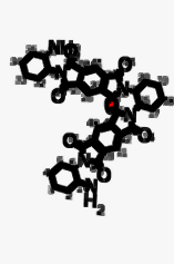 NC1CCCC[C@@H]1n1c(=O)c2cc3c(=O)n(C4CCCC[C@@H]4n4c(=O)c5cc6c(=O)n(C7CCCC[C@@H]7N)c(=O)c6cc5c4=O)c(=O)c3cc2c1=O